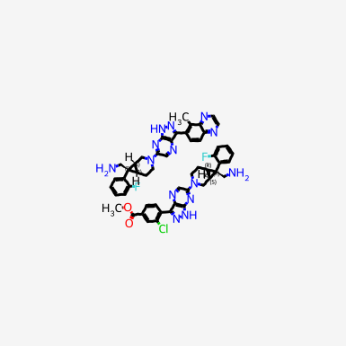 COC(=O)c1ccc(-c2n[nH]c3nc(N4CC[C@@H]5[C@H](C4)[C@@]5(CN)c4ccccc4F)cnc23)c(Cl)c1.Cc1c(-c2n[nH]c3nc(N4CC[C@@H]5[C@H](C4)[C@@]5(CN)c4ccccc4F)cnc23)ccc2nccnc12